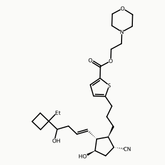 CCC1(C(O)C/C=C/[C@@H]2[C@@H](CCCc3ccc(C(=O)OCCN4CCOCC4)s3)[C@H](C#N)C[C@H]2O)CCC1